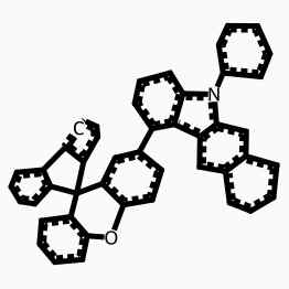 c1ccc(-n2c3cc4ccccc4cc3c3c(-c4ccc5c(c4)C4(c6ccccc6O5)c5ccccc5-c5ccccc54)cccc32)cc1